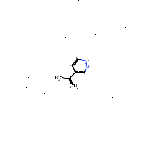 C=C(C)c1ccnnc1